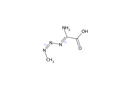 C/N=N\N=C(/N)C(=O)O